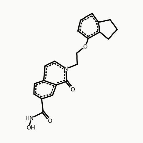 O=C(NO)c1ccc2ccn(CCOc3cccc4c3CCC4)c(=O)c2c1